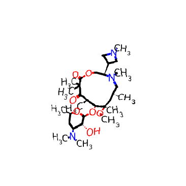 CO[C@]1(C)C[C@@H](C)CN(C)[C@H](C2CN(C)C2)COC(=O)C(C)(C)C(=O)[C@H](C)[C@H]1O[C@@H]1O[C@H](C)C[C@H](N(C)C)[C@H]1O